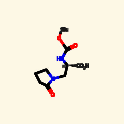 CC(C)(C)OC(=O)N[C@@H](CN1CCCC1=O)C(=O)O